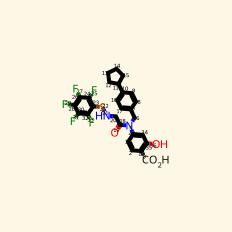 O=C(O)c1ccc(N(Cc2ccc(C3CCCC3)cc2)C(=O)CNSc2c(F)c(F)c(F)c(F)c2F)cc1O